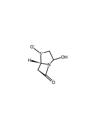 O=C1C[C@H]2N1C(O)C[S+]2[O-]